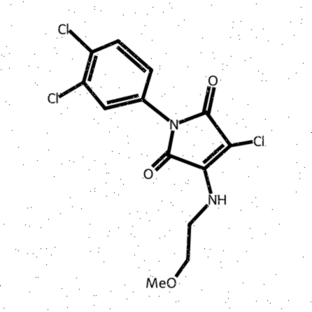 COCCNC1=C(Cl)C(=O)N(c2ccc(Cl)c(Cl)c2)C1=O